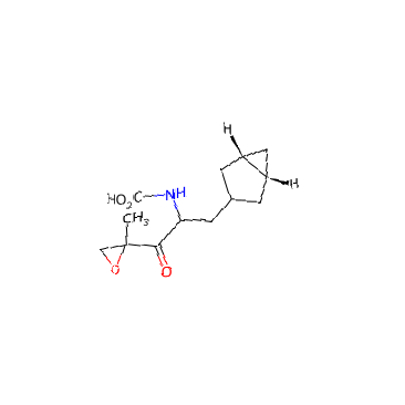 CC1(C(=O)C(CC2C[C@@H]3C[C@@H]3C2)NC(=O)O)CO1